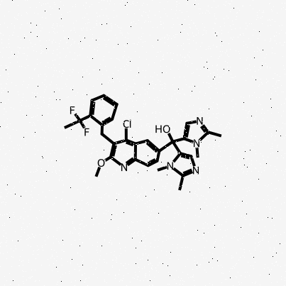 COc1nc2ccc(C(O)(c3cnc(C)n3C)c3cnc(C)n3C)cc2c(Cl)c1Cc1ccccc1C(C)(F)F